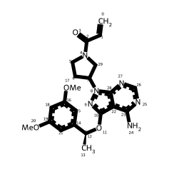 C=CC(=O)N1CCC(n2nc(O[C@@H](C)c3cc(OC)cc(OC)c3)c3c(N)ncnc32)C1